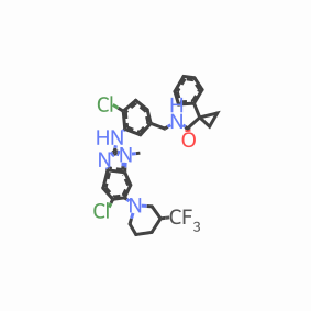 Cn1c(Nc2cc(CNC(=O)C3(c4ccccc4)CC3)ccc2Cl)nc2cc(Cl)c(N3CCCC(C(F)(F)F)C3)cc21